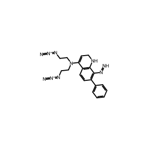 [N-]=[N+]=NCCN(CCN=[N+]=[N-])C1=CCNc2c1ccc(-c1ccccc1)c2N=N